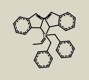 C[CH]=[Ti]([CH2]c1ccccc1)([CH2]c1ccccc1)([CH]1C(C)=Cc2ccccc21)[CH]1C(C)=Cc2ccccc21